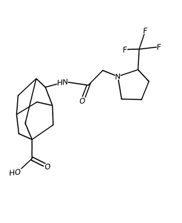 O=C(CN1CCCC1C(F)(F)F)NC1C2CC3CC1CC(C(=O)O)(C3)C2